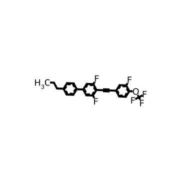 CCCc1ccc(-c2cc(F)c(C#Cc3ccc(OC(F)(F)F)c(F)c3)c(F)c2)cc1